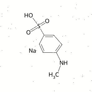 CNc1ccc(S(=O)(=O)O)cc1.[Na]